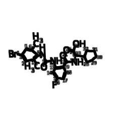 Cc1cc(Br)cc(C)c1NC(=O)Nc1cc(F)ccc1C(=O)N[C@H](C(=O)O)C1CCCCC1